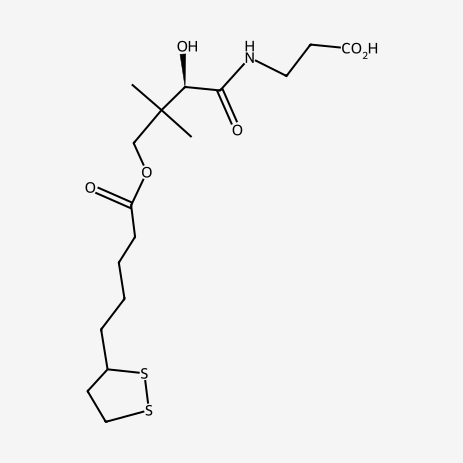 CC(C)(COC(=O)CCCCC1CCSS1)[C@@H](O)C(=O)NCCC(=O)O